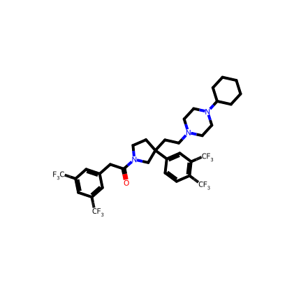 O=C(Cc1cc(C(F)(F)F)cc(C(F)(F)F)c1)N1CCC(CCN2CCN(C3CCCCC3)CC2)(c2ccc(C(F)(F)F)c(C(F)(F)F)c2)C1